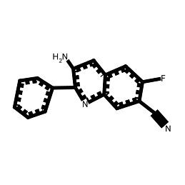 N#Cc1cc2nc(-c3ccccc3)c(N)cc2cc1F